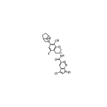 CCn1cc(Cl)c2cc(C(=O)N[C@H]3COc4c(C#N)c(N5CC6CCC(C5)N6)cc(F)c4C3)nnc21